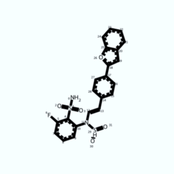 NS(=O)(=O)c1c(F)cccc1N(C=Cc1ccc(-c2cc3ccccc3o2)cc1)[SH](=O)=O